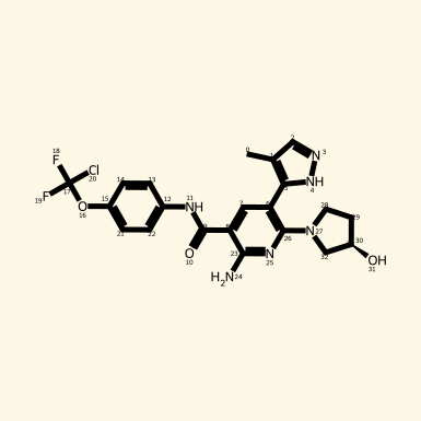 Cc1cn[nH]c1-c1cc(C(=O)Nc2ccc(OC(F)(F)Cl)cc2)c(N)nc1N1CC[C@@H](O)C1